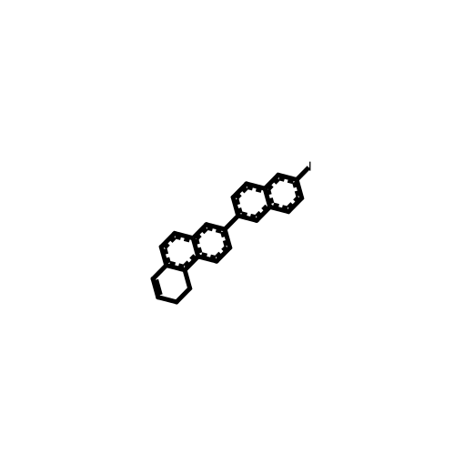 Ic1ccc2cc(-c3ccc4c5c(ccc4c3)C=CCC5)ccc2c1